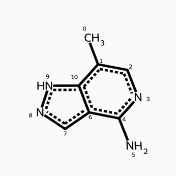 Cc1cnc(N)c2cn[nH]c12